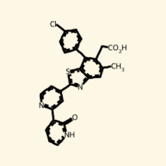 Cc1cc2nc(-c3ccnc(-c4ccc[nH]c4=O)c3)sc2c(-c2ccc(Cl)cc2)c1CC(=O)O